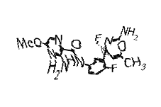 COc1cnc(C(=O)Nc2ccc(F)c([C@]3(CF)C=C(C)OC(N)=N3)c2)c(N)n1